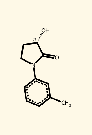 Cc1cccc(N2CC[C@H](O)C2=O)c1